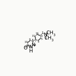 CN(C)Cc1ccc(-c2ccc(=O)[nH]n2)cc1